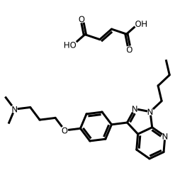 CCCCn1nc(-c2ccc(OCCCN(C)C)cc2)c2cccnc21.O=C(O)C=CC(=O)O